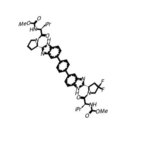 COC(=O)N[C@H](C(=O)N1CCC[C@H]1c1nc2cc(-c3ccc(-c4ccc5[nH]c([C@@H]6CC(F)(F)CN6C(=O)[C@@H](NC(=O)OC)C(C)C)nc5c4)cc3)ccc2[nH]1)C(C)C